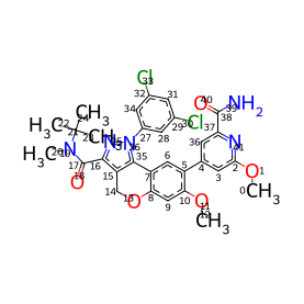 COc1cc(-c2cc3c(cc2OC)OCc2c(C(=O)N(C)C(C)(C)C)nn(-c4cc(Cl)cc(Cl)c4)c2-3)cc(C(N)=O)n1